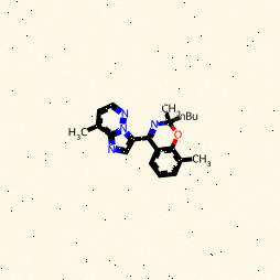 CCCCC1(C)N=C(c2cnc3c(C)ccnn23)c2cccc(C)c2O1